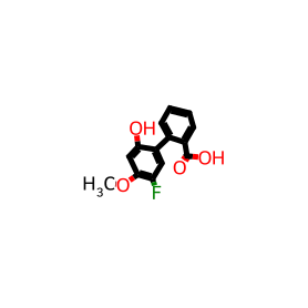 COc1cc(O)c(-c2ccccc2C(=O)O)cc1F